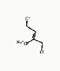 [Na+].[O-]CC=C(Cl)CCl